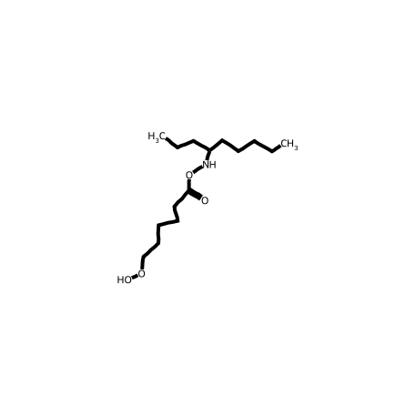 CCCCCC(CCC)NOC(=O)CCCCCOO